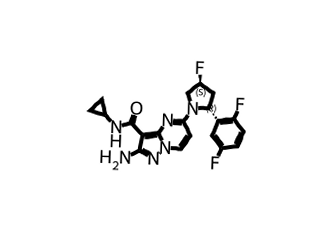 Nc1nn2ccc(N3C[C@@H](F)C[C@@H]3c3cc(F)ccc3F)nc2c1C(=O)NC1CC1